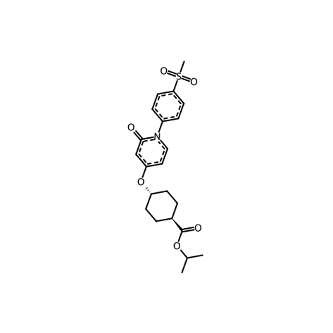 CC(C)OC(=O)[C@H]1CC[C@H](Oc2ccn(-c3ccc(S(C)(=O)=O)cc3)c(=O)c2)CC1